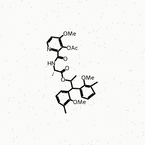 COc1ccnc(C(=O)N[C@@H](C)C(=O)OC(C)C(c2cccc(C)c2OC)c2cccc(C)c2OC)c1OC(C)=O